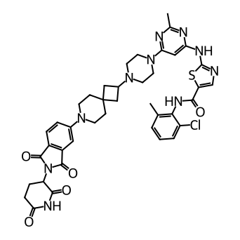 Cc1nc(Nc2ncc(C(=O)Nc3c(C)cccc3Cl)s2)cc(N2CCN(C3CC4(CCN(c5ccc6c(c5)C(=O)N(C5CCC(=O)NC5=O)C6=O)CC4)C3)CC2)n1